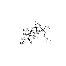 CCCC(C)(C)CC(C)(C)CC(C)(C)C(C)(C)C(=O)NC